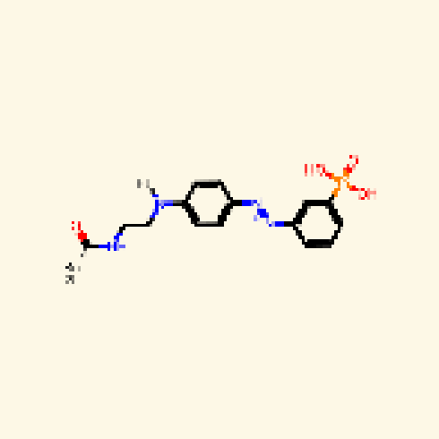 CC[C@@H](C)C(=O)NCCN(CC)c1ccc(/N=N/c2cccc(P(=O)(O)O)c2)cc1